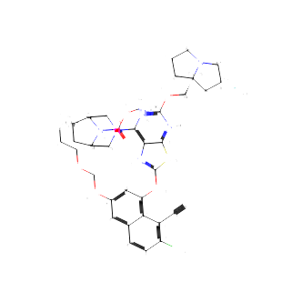 C#Cc1c(Cl)ccc2cc(OCOCCOC)cc(Oc3nc4c(N5CC6CCC(C5)N6C(=O)OC(C)(C)C)nc(OC[C@@]56CCCN5C[C@H](F)C6)nc4s3)c12